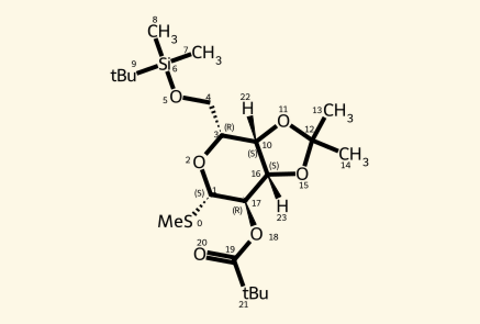 CS[C@@H]1O[C@H](CO[Si](C)(C)C(C)(C)C)[C@@H]2OC(C)(C)O[C@@H]2[C@H]1OC(=O)C(C)(C)C